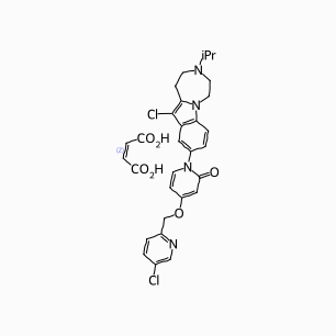 CC(C)N1CCc2c(Cl)c3cc(-n4ccc(OCc5ccc(Cl)cn5)cc4=O)ccc3n2CC1.O=C(O)/C=C\C(=O)O